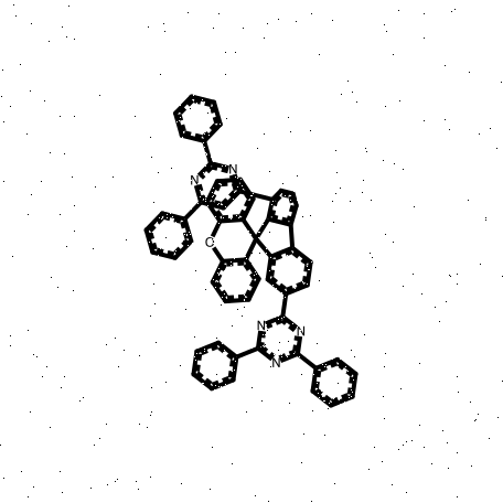 c1ccc(-c2cc(-c3cccc4c3C3(c5ccccc5Oc5ccccc53)c3cc(-c5nc(-c6ccccc6)nc(-c6ccccc6)n5)ccc3-4)nc(-c3ccccc3)n2)cc1